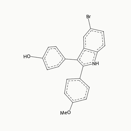 COc1ccc(-c2[nH]c3ccc(Br)cc3c2-c2ccc(O)cc2)cc1